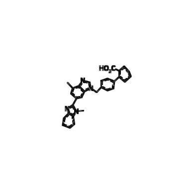 Cc1cc(-c2nc3ccccc3n2C)cc2c1ncn2Cc1ccc(-c2ccccc2C(=O)O)cc1